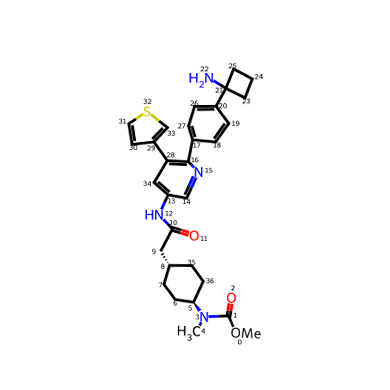 COC(=O)N(C)[C@H]1CC[C@H](CC(=O)Nc2cnc(-c3ccc(C4(N)CCC4)cc3)c(-c3ccsc3)c2)CC1